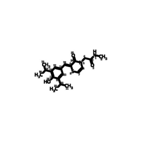 CNC(=O)CN1C=CS/C(=C\c2cc(C(C)C)c(O)c(C(C)C)c2)C1=O